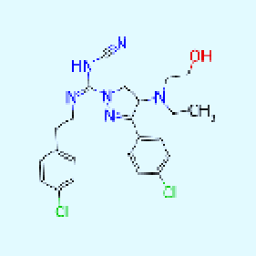 CCN(CCO)C1CN(C(=NCCc2ccc(Cl)cc2)NC#N)N=C1c1ccc(Cl)cc1